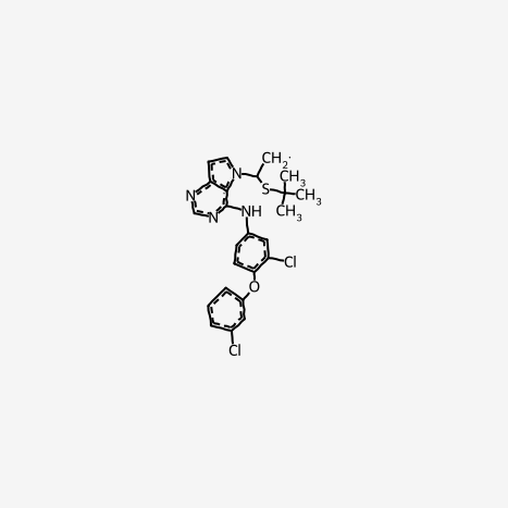 [CH2]C(SC(C)(C)C)n1ccc2ncnc(Nc3ccc(Oc4cccc(Cl)c4)c(Cl)c3)c21